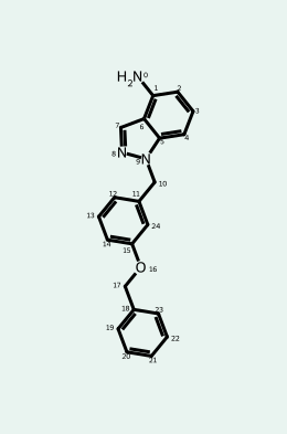 Nc1cccc2c1cnn2Cc1cccc(OCc2ccccc2)c1